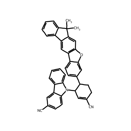 CC1(C)c2ccccc2-c2cc3c(cc21)oc1cc(C2CCC(C#N)=CC2n2c4ccccc4c4cc(C#N)ccc42)ccc13